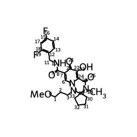 COCCCN1n2cc(C(=O)NCc3ccc(F)cc3F)c(=O)c(O)c2C(=O)N(C)C12CCCC2